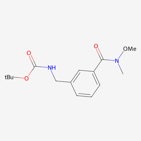 CON(C)C(=O)c1cccc(CNC(=O)OC(C)(C)C)c1